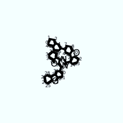 c1ccc2cc(-c3ccc4oc5cccc(-c6nc(-c7ccc8oc9ccccc9c8c7)c7oc8ccccc8c7n6)c5c4c3)ccc2c1